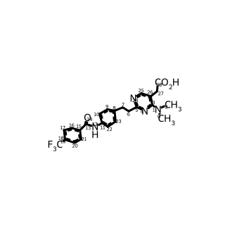 CN(C)c1nc(CCc2ccc(NC(=O)c3ccc(C(F)(F)F)cc3)cc2)ncc1CC(=O)O